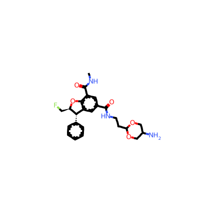 CNC(=O)c1cc(C(=O)NCCC2OCC(N)CO2)cc2c1O[C@H](CF)[C@H]2c1ccccc1